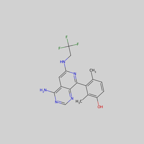 Cc1ccc(O)c(C)c1-c1nc(NCC(F)(F)F)cc2c(N)ncnc12